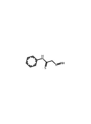 N=NCC(=S)Nc1ccccc1